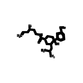 C=CCC(CC)CCNC(=O)N1CCC(O)(c2cccc(OC)c2)C(CN(C)C)C1